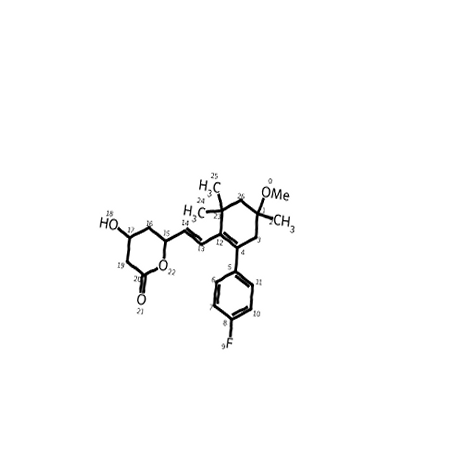 COC1(C)CC(c2ccc(F)cc2)=C(C=CC2CC(O)CC(=O)O2)C(C)(C)C1